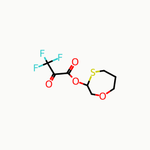 O=C(OC1COCCCS1)C(=O)C(F)(F)F